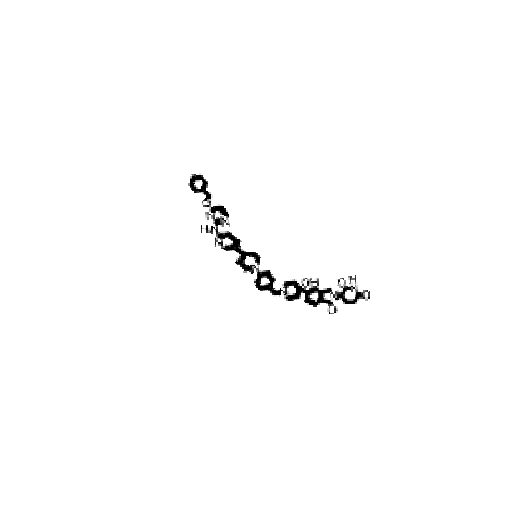 O=C1CCC(N2Cc3cc(C4(O)CCN(Cc5ccc(N6CCC(c7ccc(Nc8nccc(OCc9ccccc9)n8)nc7)CC6)cc5)CC4)ccc3C2=O)C(=O)N1